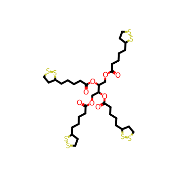 O=C(CCCCC1CCSS1)OCC(OC(=O)CCCCC1CCSS1)C(COC(=O)CCCCC1CCSS1)OC(=O)CCCCC1CCSS1